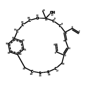 C=C/C1=C\C=C(/C=C)CCC(C)(O)OCCCc2ccc(cc2)CCSSCC1